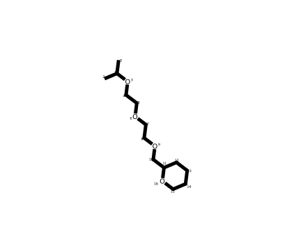 CC(C)OCCOCCOCC1CCCCO1